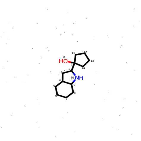 OC1(C2CC3CCCCC3N2)CCCC1